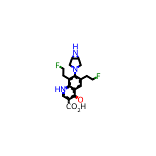 O=C(O)c1c[nH]c2c(CCF)c(N3CC4NC4C3)c(CCF)cc2c1=O